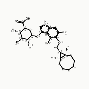 O=C(O)[C@H]1O[C@@H](Oc2c[nH]c3cc(Br)c(OC[C@@H]4[C@@H]5CCCCCC[C@@H]54)c(Br)c23)[C@H](O)[C@@H](O)[C@@H]1O